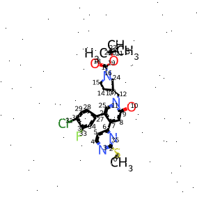 CSc1nccc(-c2cc(=O)n(C[C@H]3CCN(C(=O)OC(C)(C)C)C3)cc2-c2ccc(Cl)c(F)c2)n1